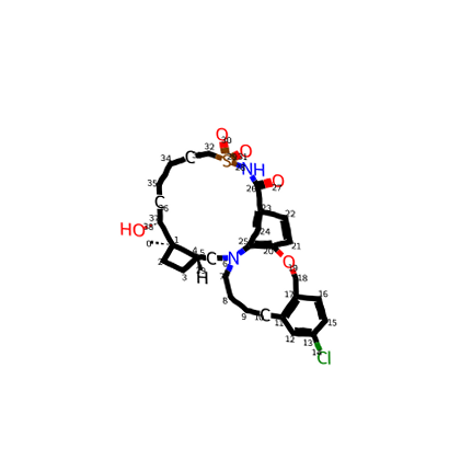 C[C@@]12CC[C@H]1CN1CCCCc3cc(Cl)ccc3COc3ccc(cc31)C(=O)NS(=O)(=O)CCCCC[C@H]2O